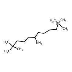 CC(C)(C)CCCC(N)CCCC[Si](C)(C)C